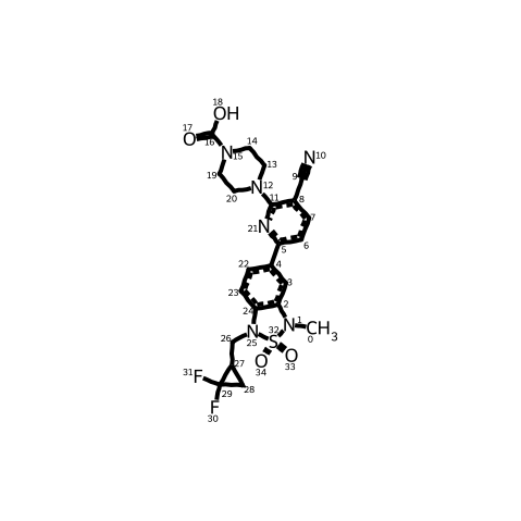 CN1c2cc(-c3ccc(C#N)c(N4CCN(C(=O)O)CC4)n3)ccc2N(CC2CC2(F)F)S1(=O)=O